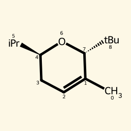 CC1=CC[C@@H](C(C)C)O[C@@H]1C(C)(C)C